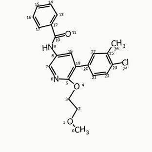 COCCOc1ncc(NC(=O)c2ccccc2)cc1-c1ccc(Cl)c(C)c1